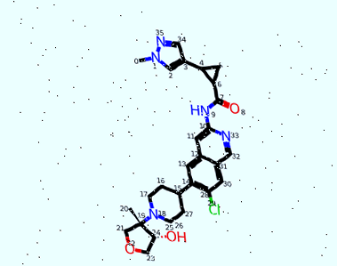 Cn1cc(C2CC2C(=O)Nc2cc3cc(C4CCN([C@@]5(C)COC[C@H]5O)CC4)c(Cl)cc3cn2)cn1